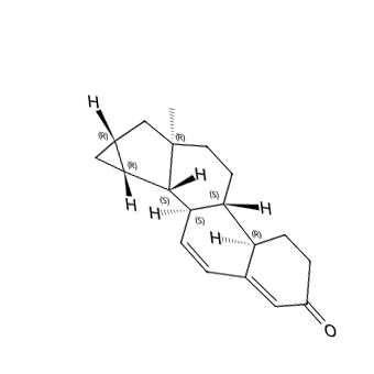 C[C@]12CC[C@H]3[C@@H](C=CC4=CC(=O)CC[C@@H]43)[C@@H]1[C@@H]1C[C@@H]1C2